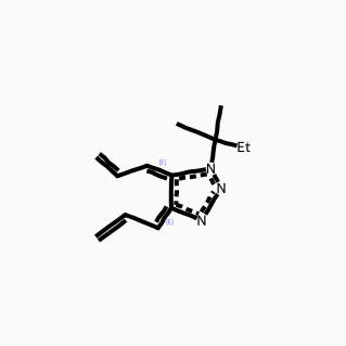 C=C/C=c1/nnn(C(C)(C)CC)/c1=C/C=C